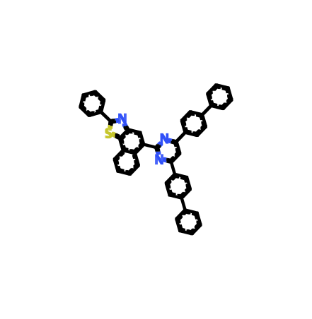 c1ccc(-c2ccc(-c3cc(-c4ccc(-c5ccccc5)cc4)nc(-c4cc5nc(-c6ccccc6)sc5c5ccccc45)n3)cc2)cc1